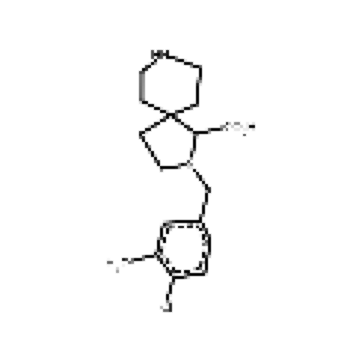 Cc1cc(CN2CCC3(CCNCC3)C2C(=O)O)ccc1Cl